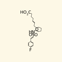 O=C(O)CCC/C=C/CC1C2CCC(O2)C1NS(=O)(=O)/C=C/c1ccc(F)cc1